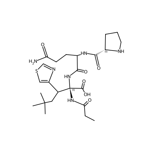 CCC(=O)N[C@@](NC(=O)C(CCC(N)=O)NC(=O)[C@@H]1CCCN1)(C(=O)O)C(CC(C)(C)C)c1cscn1